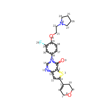 O=c1c2sc(C3=CCOCC3)cc2ncn1-c1ccc(OCCN2CCCC2)c(F)c1